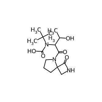 CC(O)C(C(=O)N1CCCC12CNC2=O)N(C(=O)O)C(C)(C)C